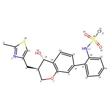 Cc1nc(C[C@@H]2COc3cc(-c4ccccc4NS(=O)(=O)C(F)(F)F)ccc3[C@H]2O)cs1